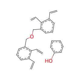 C=Cc1cccc(COCc2cccc(C=C)c2C=C)c1C=C.Oc1ccccc1